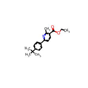 CCOC(=O)c1ccc(-c2ccc(C(C)(C)C)cc2)nc1C